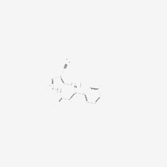 N#Cc1cnn2c(=O)cc(-c3ccccc3)[nH]c12